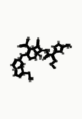 CO/N=C(\C(=O)N[C@@H]1C(=O)N2C(C(=O)[O-])=C(Cn3cc[n+]4ccc(CO)c-4c3)CS[C@H]12)c1nsc(N)n1